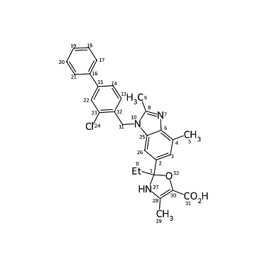 CCC1(c2cc(C)c3nc(C)n(Cc4ccc(-c5ccccc5)cc4Cl)c3c2)NC(C)=C(C(=O)O)O1